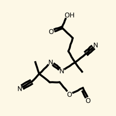 CC(C#N)(CCOC=O)N=NC(C)(C#N)CCC(=O)O